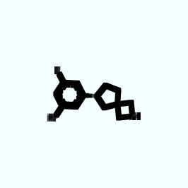 CC(C)c1cc(F)cc([C@@H]2CCC3(CNC3)C2)c1